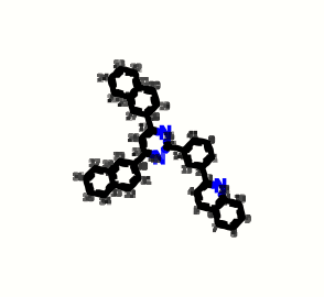 c1cc(-c2ccc3ccccc3n2)cc(-c2nc(-c3ccc4ccccc4c3)cc(-c3ccc4ccccc4c3)n2)c1